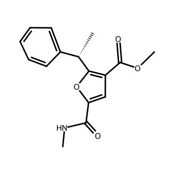 CNC(=O)c1cc(C(=O)OC)c([C@@H](C)c2ccccc2)o1